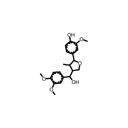 COc1cc(C2OCC(C(O)c3ccc(OC)c(OC)c3)C2C)ccc1O